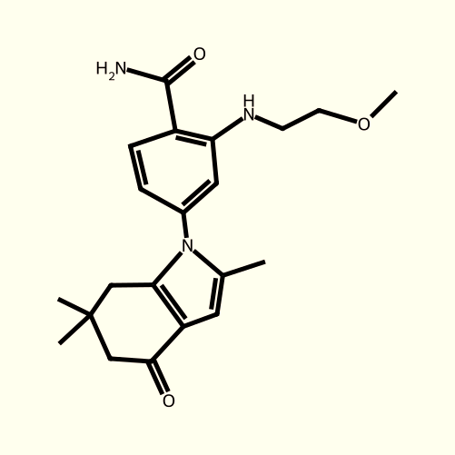 COCCNc1cc(-n2c(C)cc3c2CC(C)(C)CC3=O)ccc1C(N)=O